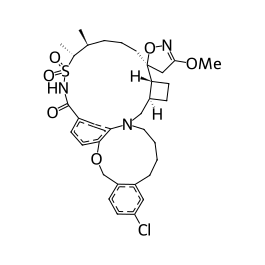 COC1=NO[C@@]2(CCC[C@H](C)[C@@H](C)S(=O)(=O)NC(=O)c3ccc4c(c3)N(CCCCc3cc(Cl)ccc3CO4)C[C@@H]3CC[C@H]32)C1